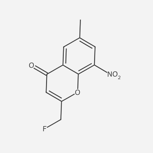 Cc1cc([N+](=O)[O-])c2oc(CF)cc(=O)c2c1